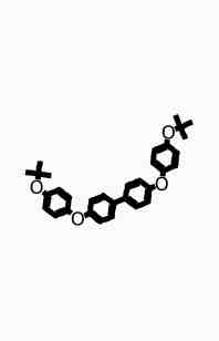 CC(C)(C)Oc1ccc(Oc2ccc(-c3ccc(Oc4ccc(OC(C)(C)C)cc4)cc3)cc2)cc1